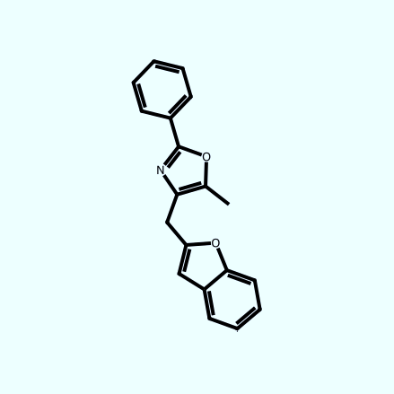 Cc1oc(-c2ccccc2)nc1Cc1cc2c[c]ccc2o1